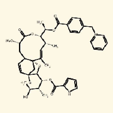 CO[C@H]1CC2C=C[C@@H]3C[C@]2(O[C@H]3[C@H](OC(=O)c2ccc[nH]2)[C@H](C)[C@H](C)O)/C(C)=C/[C@@H](C)[C@@H]([C@@H](C)OC(=O)c2ccc(C[n+]3ccccc3)cc2)OC1=O